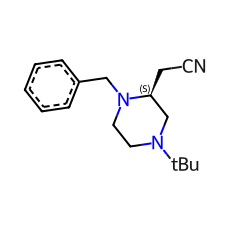 CC(C)(C)N1CCN(Cc2ccccc2)[C@@H](CC#N)C1